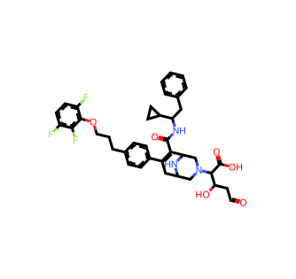 O=CCC(O)C(C(=O)O)N1CC2CC(c3ccc(CCCOc4c(F)ccc(F)c4F)cc3)=C(C(=O)NC(Cc3ccccc3)C3CC3)C(C1)N2